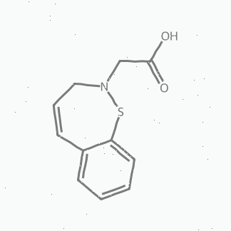 O=C(O)CN1CC=Cc2ccccc2S1